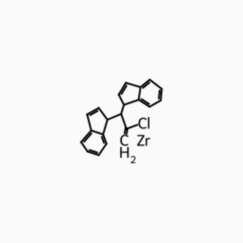 C=C(Cl)C(C1C=Cc2ccccc21)C1C=Cc2ccccc21.[Zr]